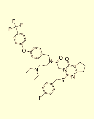 CCN(CC)CCN(Cc1ccc(Oc2ccc(C(F)(F)F)cc2)cc1)C(=O)Cn1c(SCc2ccc(F)cc2)nc2c(c1=O)CCC2